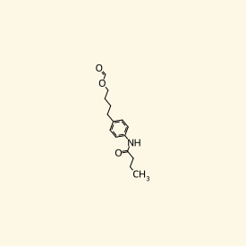 CCCC(=O)Nc1ccc(CCCCOC=O)cc1